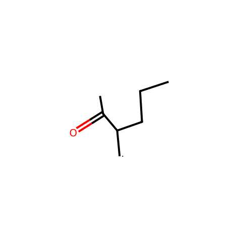 [CH2]C(CCC)C(C)=O